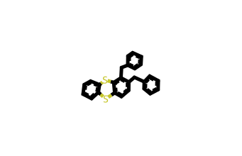 c1ccc(Cc2ccc3c(c2Cc2ccccc2)Sc2ccccc2S3)cc1